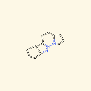 c1ccc2c(c1)nn1c2ccc2cccn21